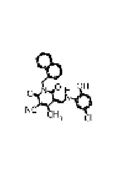 CC1=C(C#N)C(=O)N(Cc2cccc3ccccc23)C(=O)/C1=C\Nc1cc(Cl)ccc1O